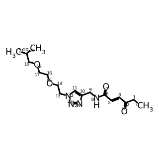 CCC(=O)/C=C/C(=O)NCc1cn(CCOCCOCC(C)C)nn1